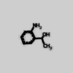 CC(O)c1ccccc1N